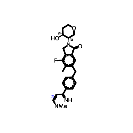 CN/C=C\C(=N)c1ccc(Cc2cc3c(c(F)c2C)CN([C@H]2COCC[C@@H]2O)C3=O)cc1